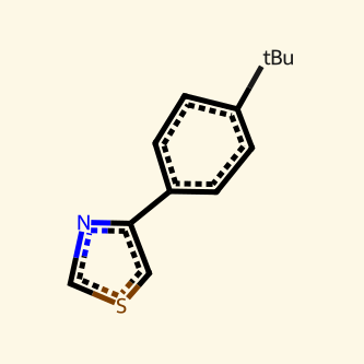 CC(C)(C)c1ccc(-c2cscn2)cc1